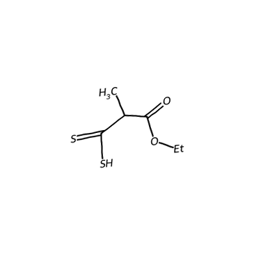 CCOC(=O)C(C)C(=S)S